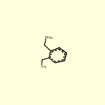 CC(=O)NCc1ccccc1CC=O